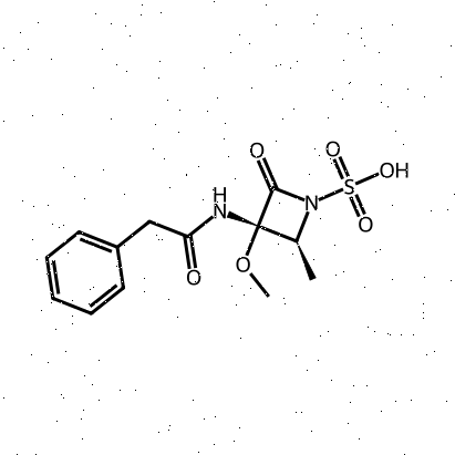 CO[C@]1(NC(=O)Cc2ccccc2)C(=O)N(S(=O)(=O)O)[C@H]1C